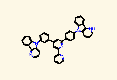 C1=Cc2c(c3ccccc3n2-c2ccc(-c3cc(-c4cccc(-n5c6ccccc6c6ncccc65)c4)cc(-c4ccccn4)n3)cc2)NC1